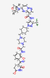 O=C1CC[C@@H](c2noc3c(NC(=O)CN4CCN(CC5CCC(n6cc(NC(=O)c7cnn8ccc(N9C[C@@H]%10C[C@H]9CO%10)nc78)c(C(F)F)n6)CC5)CC4)cccc23)C(=O)N1